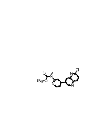 CN(C(=O)OC(C)(C)C)c1cc(-c2cnc3ccc(Cl)nc3c2)ccn1